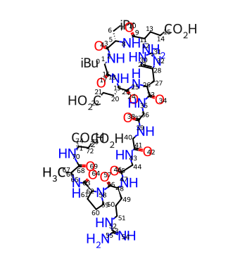 CC[C@H](C)[C@H](NC(=O)[C@H](CC(C)C)NC(=O)[C@@H](N)CCC(=O)O)C(=O)N[C@@H](CCC(=O)O)C(=O)N[C@@H](Cc1c[nH]cn1)C(=O)NCC(=O)NCC(=O)NCC(=O)N[C@@H](CCCNC(=N)N)C(=O)N1CCC[C@H]1C(=O)N[C@@H](C)C(=O)N[C@@H](CC(=O)O)C(=O)O